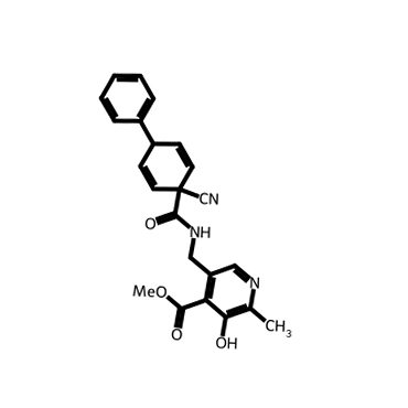 COC(=O)c1c(CNC(=O)C2(C#N)C=CC(c3ccccc3)C=C2)cnc(C)c1O